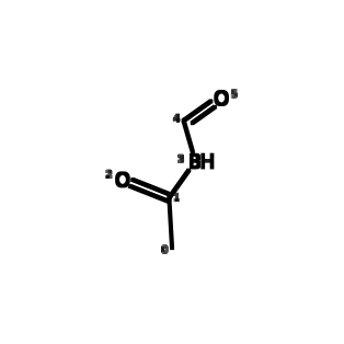 CC(=O)BC=O